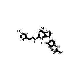 CCn1cnc(CCNc2nc(N)c3ncn([C@@H]4CC(NC(=O)C(C)C)[C@@H](O)[C@H]4O)c3n2)c1